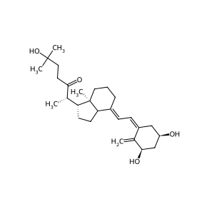 C=C1/C(=C\C=C2CCC[C@@]3(C)C2CC[C@@H]3[C@H](C)C(=O)CCC(C)(C)O)C[C@@H](O)C[C@H]1O